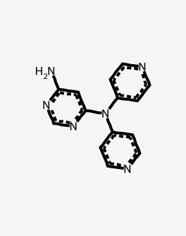 Nc1cc(N(c2ccncc2)c2ccncc2)ncn1